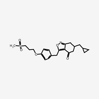 CS(=O)(=O)CCCOc1ccc(Cc2onc3c2C(=O)CC(CC2CC2)C3)cc1